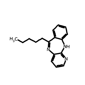 CCCCCC1=Nc2cccnc2Nc2ccccc21